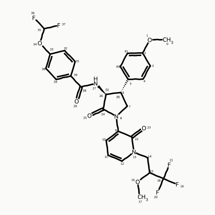 COc1ccc([C@@H]2CN(c3cccn(CC(OC)C(F)(F)F)c3=O)C(=O)[C@H]2NC(=O)c2ccc(OC(F)F)cc2)cc1